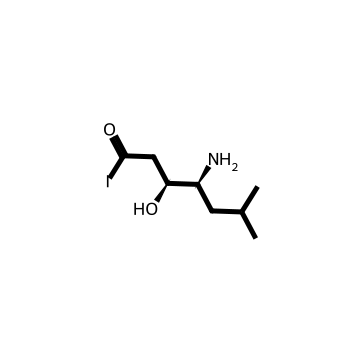 CC(C)C[C@H](N)[C@@H](O)CC(=O)I